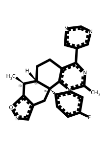 Cc1nc(-c2cncnc2)c2c(n1)[C@@]1(c3ccc(F)cc3)Cc3cnoc3[C@@H](C)[C@@H]1CC2